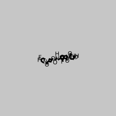 O=C1CC[C@@H](N2Cc3ccc(CNC(=O)OC4CC(C(=O)N5CCC(F)(F)CC5)C4)c(F)c3C2=O)C(=O)N1